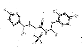 CS(=O)(=O)C[C@H](N[C@@H](c1ccc(Br)cc1)C(F)(F)F)C(=O)NC(C#N)Cc1ccc(C#N)cc1Cl